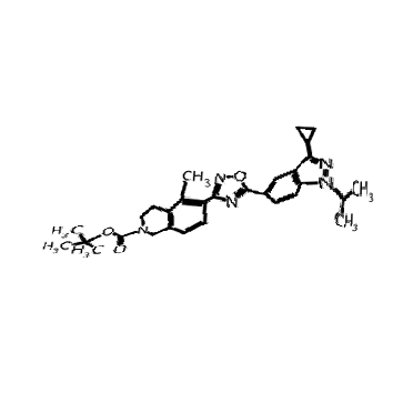 Cc1c(-c2noc(-c3ccc4c(c3)c(C3CC3)nn4C(C)C)n2)ccc2c1CCN(C(=O)OC(C)(C)C)C2